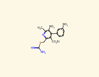 CCOC(=O)c1c(CSC(=N)N)nc(C)c([N+](=O)[O-])c1-c1cccc([N+](=O)[O-])c1